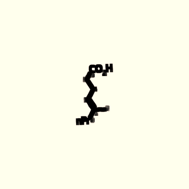 CCCC(C)=CCCC(=O)O